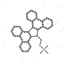 C[Si](C)(C)OCC1c2c(c3ccccc3c3ccccc23)-c2c1c1ccccc1c1ccccc21